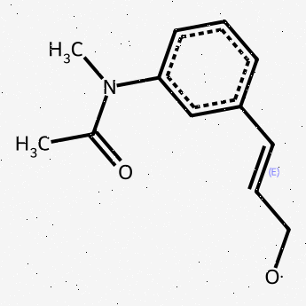 CC(=O)N(C)c1cccc(/C=C/C[O])c1